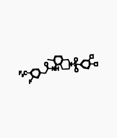 Cc1ccc2c(c1NC(=O)Cc1ccc(C(F)(F)F)c(F)c1)CCN(S(=O)(=O)c1ccc(Cl)c(Cl)c1)C2